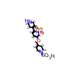 CS(=O)(=O)N1CC(OCC2CCN(C(=O)O)CC2)=CC=C1C1=CCNCC1